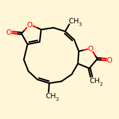 C=C1C(=O)OC2C=C(C)CC3C=C(CCC=C(C)CCC12)C(=O)O3